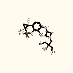 NC(CO)(CO)CN1CC(Oc2ccc3c(c2C(=O)O)O[B-](O)(O)[C@H]2C[C@@H]32)C1